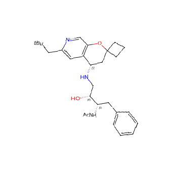 CC(=O)N[C@@H](Cc1ccccc1)[C@H](O)CN[C@H]1CC2(CCC2)Oc2cnc(CC(C)(C)C)cc21